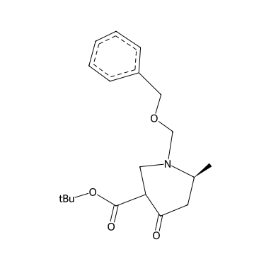 C[C@H]1CC(=O)C(C(=O)OC(C)(C)C)CN1COCc1ccccc1